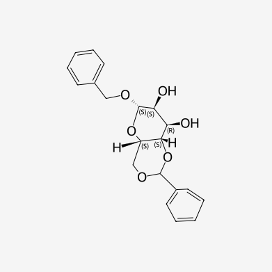 O[C@@H]1[C@@H](OCc2ccccc2)O[C@H]2COC(c3ccccc3)O[C@H]2[C@@H]1O